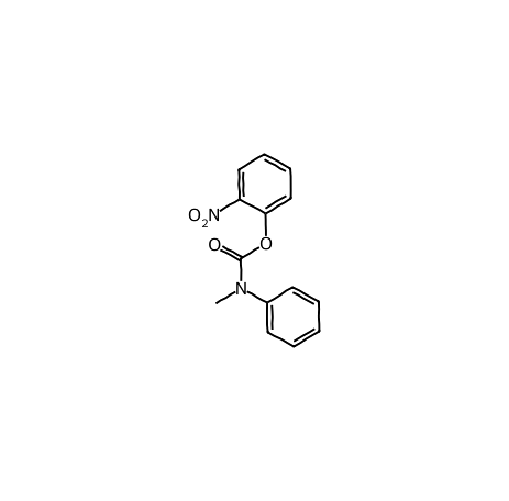 CN(C(=O)Oc1ccccc1[N+](=O)[O-])c1ccccc1